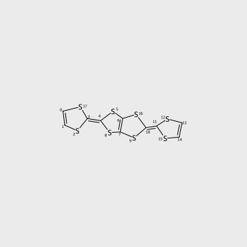 C1=CSC(=C2SC3=C(S2)SC(=C2SC=CS2)S3)S1